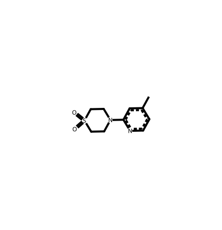 Cc1ccnc(N2CCS(=O)(=O)CC2)c1